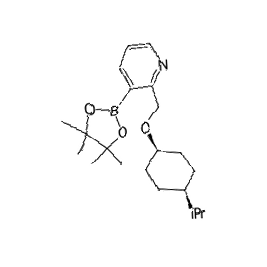 CC(C)[C@H]1CC[C@@H](OCc2ncccc2B2OC(C)(C)C(C)(C)O2)CC1